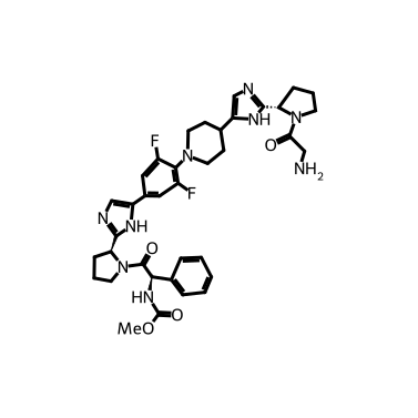 COC(=O)N[C@@H](C(=O)N1CCC[C@H]1c1ncc(-c2cc(F)c(N3CCC(c4cnc([C@@H]5CCCN5C(=O)CN)[nH]4)CC3)c(F)c2)[nH]1)c1ccccc1